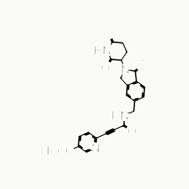 O=C(C#Cc1ccc(C(=O)O)cn1)NCc1ccc2c(c1)CN(C1CCC(=O)NC1=O)C2=O